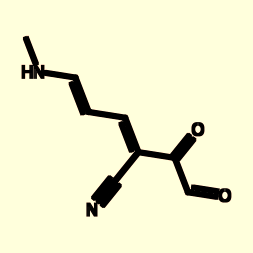 CN/C=C/C=C(\C#N)C(=O)C=O